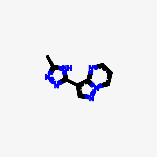 Cc1nnc(-c2cnn3cccnc23)[nH]1